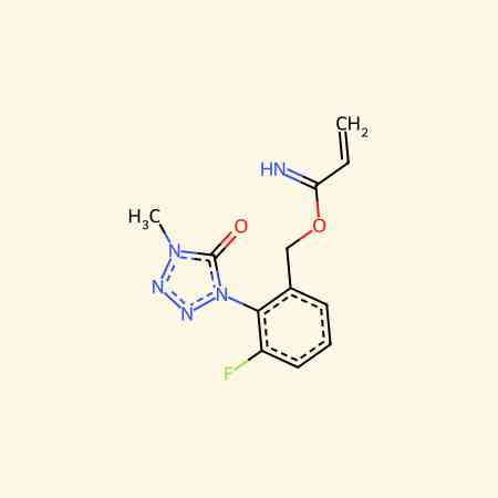 C=CC(=N)OCc1cccc(F)c1-n1nnn(C)c1=O